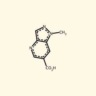 Cn1ncc2ncc(C(=O)O)cc21